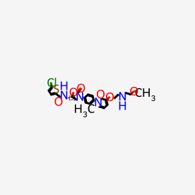 COCCNCCOc1cccn(-c2ccc(N3C[C@H](CNC(=O)c4ccc(Cl)s4)OC3=O)cc2C)c1=O